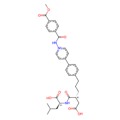 COC(=O)c1ccc(C(=O)N[n+]2ccc(-c3ccc(CCC[C@H](CC(=O)O)C(=O)N[C@@H](CC(C)C)C(=O)O)cc3)cc2)cc1